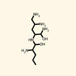 CCCC(N)C(O)NC(CC(N)CN)C(N)O